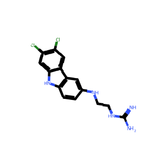 N=C(N)NCCNc1ccc2[nH]c3cc(Cl)c(Cl)cc3c2c1